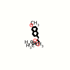 COc1ccc2cc(C[C@@H](C=O)O[Si](C)(C)C)ccc2c1